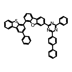 c1ccc(-c2ccc(-c3nc(-c4ccccc4)nc(-c4ccc5c(c4)oc4c(-c6cc(-c7ccccc7)cc7c6sc6ccccc67)cccc45)n3)cc2)cc1